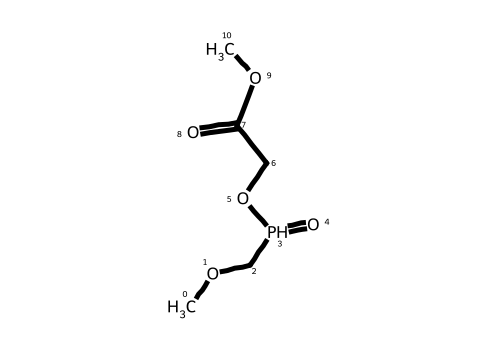 COC[PH](=O)OCC(=O)OC